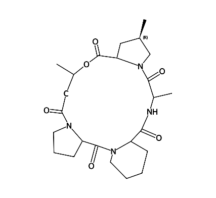 CC1CC(=O)N2CCCC2C(=O)N2CCCCC2C(=O)NC(C)C(=O)N2C[C@H](C)CC2C(=O)O1